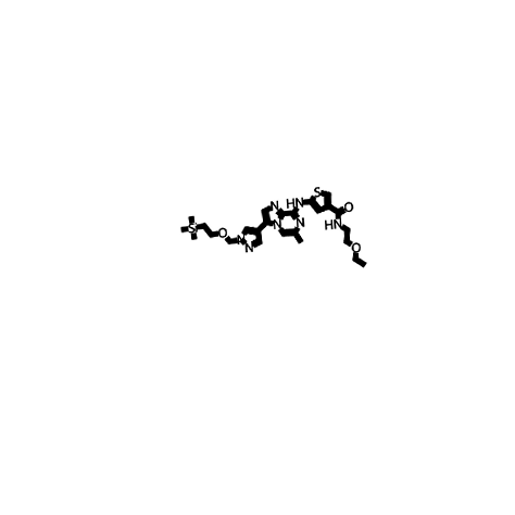 CCOCCNC(=O)c1csc(Nc2nc(C)cn3c(-c4cnn(COCC[Si](C)(C)C)c4)cnc23)c1